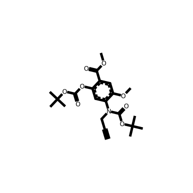 C#CCN(C(=O)OC(C)(C)C)c1cc(OC(=O)OC(C)(C)C)c(C(=O)OC)cc1OC